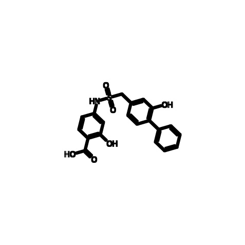 O=C(O)c1ccc(NS(=O)(=O)Cc2ccc(-c3ccccc3)c(O)c2)cc1O